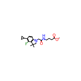 COC(=O)CCCNC(=O)CN1CC(C)(C)c2c1ccc(C1CC1)c2F